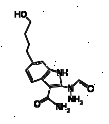 NC(=O)c1c(N(N)C=O)[nH]c2cc(CCCCO)ccc12